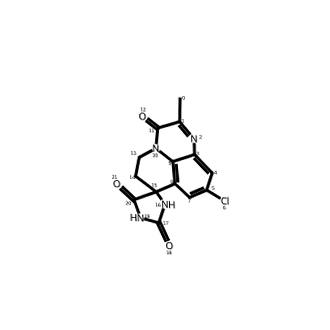 Cc1nc2cc(Cl)cc3c2n(c1=O)CCC31NC(=O)NC1=O